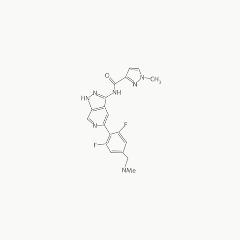 CNCc1cc(F)c(-c2cc3c(NC(=O)c4ccn(C)n4)n[nH]c3cn2)c(F)c1